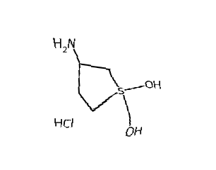 Cl.NC1CCS(O)(O)C1